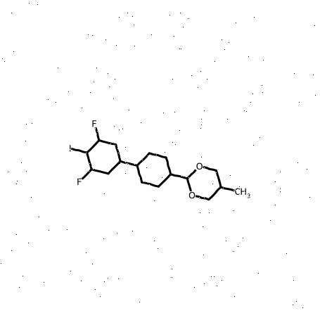 CC1COC(C2CCC(C3CC(F)C(I)C(F)C3)CC2)OC1